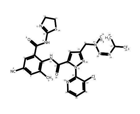 Cc1cc(C#N)cc(C(=O)NC2=NCCS2)c1NC(=O)c1cc(CN(C)/N=N\C(C)C(F)(F)F)nn1-c1ncccc1Cl